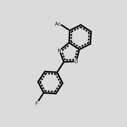 CC(=O)c1cccc2oc(-c3ccc(F)cc3)nc12